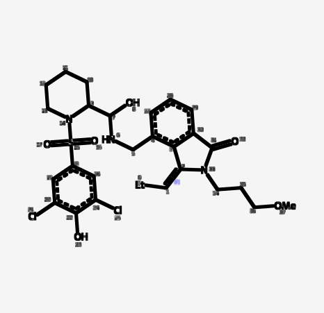 CC/C=C1\c2c(CNC(O)C3CCCCN3S(=O)(=O)c3cc(Cl)c(O)c(Cl)c3)cccc2C(=O)N1CCCOC